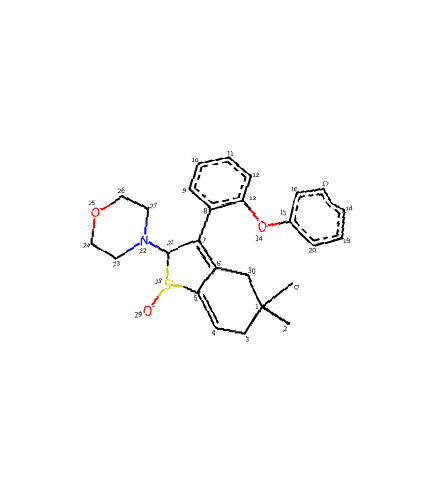 CC1(C)CC=C2C(=C(c3ccccc3Oc3ccccc3)C(N3CCOCC3)[S+]2[O-])C1